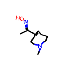 C/C(=N\O)C1=CCCN(C)C1